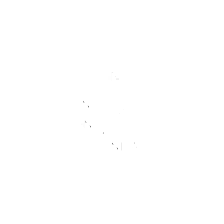 CCC(C)c1nnc(NC(C)=O)s1